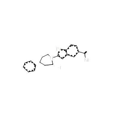 C[C@@H]1C[C@H](c2ccccc2)CCN1c1cc2cc(C(N)=O)ccc2[nH]1